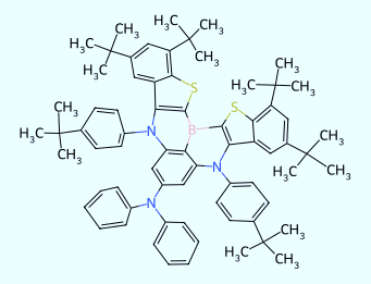 CC(C)(C)c1ccc(N2c3cc(N(c4ccccc4)c4ccccc4)cc4c3B(c3sc5c(C(C)(C)C)cc(C(C)(C)C)cc5c32)c2sc3c(C(C)(C)C)cc(C(C)(C)C)cc3c2N4c2ccc(C(C)(C)C)cc2)cc1